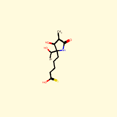 CC(C)C(O)C1(CCCCC(O)=S)NC(=O)C(C)C1O